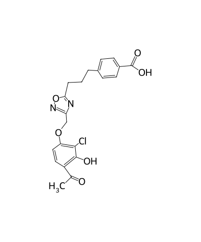 CC(=O)c1ccc(OCc2noc(CCCc3ccc(C(=O)O)cc3)n2)c(Cl)c1O